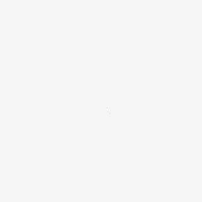 CCCCCCc1cc2ccccc2cn1